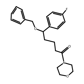 O=C(CCCC(OCc1ccccc1)c1ccc(F)cc1)N1CCOCC1